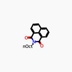 CCCCCCCCN1C(=O)c2cccc3cccc(c23)C1=O